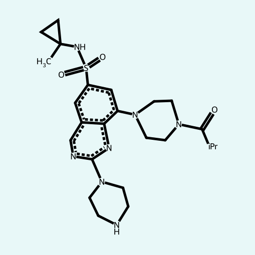 CC(C)C(=O)N1CCN(c2cc(S(=O)(=O)NC3(C)CC3)cc3cnc(N4CCNCC4)nc23)CC1